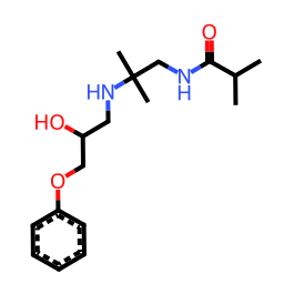 CC(C)C(=O)NCC(C)(C)NCC(O)COc1ccccc1